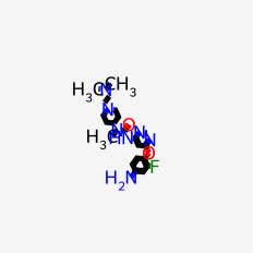 CN(C)CCN1CCC(N(C)C(=O)Nc2cc(Oc3ccc(N)cc3F)ncn2)CC1